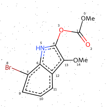 COC(=O)Oc1[nH]c2c(Br)cccc2c1OC